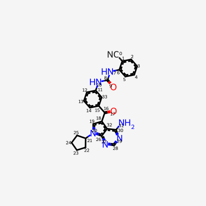 N#Cc1ccccc1NC(=O)Nc1cccc(C(=O)c2cn(C3CCCC3)c3ncnc(N)c23)c1